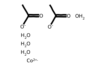 CC(=O)[O-].CC(=O)[O-].O.O.O.O.[Co+2]